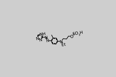 CCN(CCCOS(=O)(=O)O)c1ccc(/N=N/c2nnc[nH]2)c(C)c1